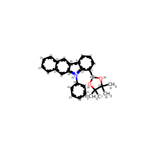 CC1(C)OB(c2cccc3c4cc5ccccc5cc4n(-c4ccccc4)c23)OC1(C)C